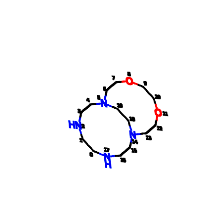 C1CNCCN2CCOCCOCCN(CCN1)CC2